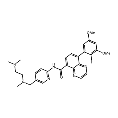 COc1cc(OC)c(F)c(-c2ccc(C(=O)Nc3ccc(CN(C)CCN(C)C)cn3)c3nccnc23)c1